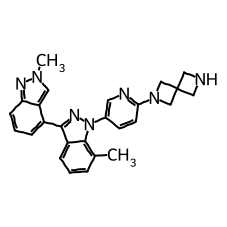 Cc1cccc2c(-c3cccc4nn(C)cc34)nn(-c3ccc(N4CC5(CNC5)C4)nc3)c12